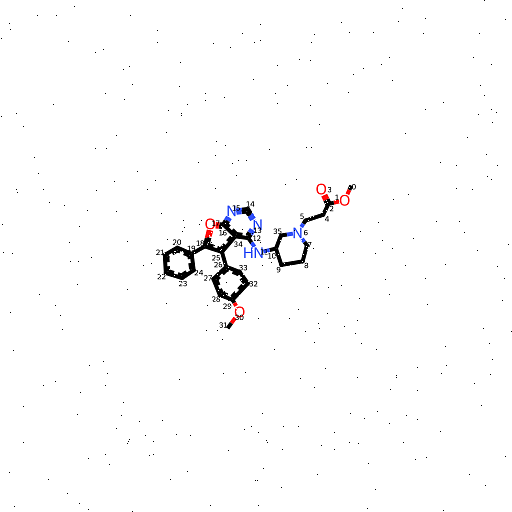 COC(=O)CCN1CCCC(Nc2ncnc3oc(-c4ccccc4)c(-c4ccc(OC)cc4)c23)C1